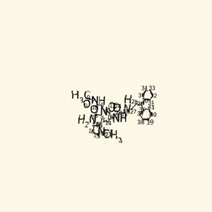 CC(=O)NCCN(CC(N)=O)C(=O)C(CC[C@H]1CCCN1C)NC(=O)CNCCC(c1ccccc1)c1ccccc1